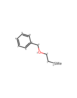 CSCCOCc1ccccc1